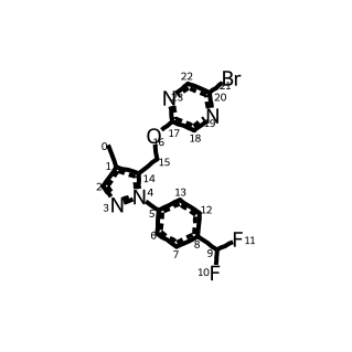 Cc1cnn(-c2ccc(C(F)F)cc2)c1COc1cnc(Br)cn1